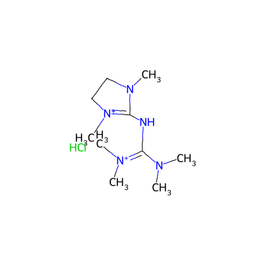 CN(C)C(NC1=[N+](C)CCN1C)=[N+](C)C.Cl